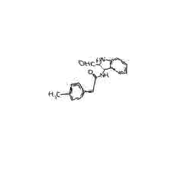 Cc1ccc(CC(=O)NC2c3ccccc3NC2C=O)cc1